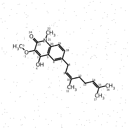 COc1c(O)c2cc(CC=C(C)CCC=C(C)C)ccc2n(C)c1=O